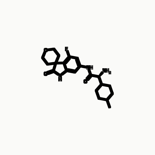 CC1CCC([C@H](N)C(=O)Nc2cc(F)c3c(c2)NC(=O)C32CCOCC2)CC1